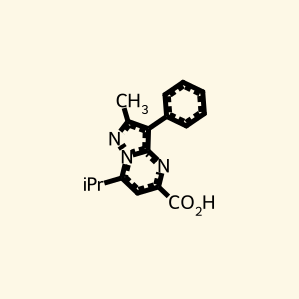 Cc1nn2c(C(C)C)cc(C(=O)O)nc2c1-c1ccccc1